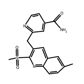 Cc1ccc2nc(S(C)(=O)=O)c(Cc3cc(C(N)=O)ccn3)cc2c1